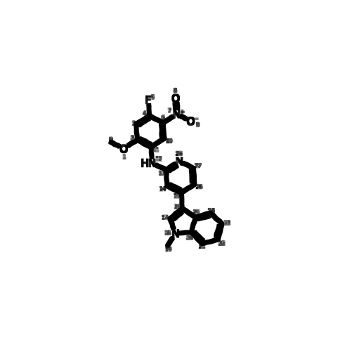 COc1cc(F)c([N+](=O)[O-])cc1Nc1cc(-c2cn(C)c3ccccc23)ccn1